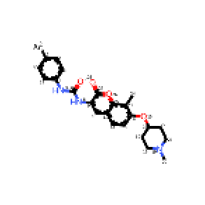 CC(=O)c1ccc(NC(=O)Nc2cc3ccc(OC4CCN(C)CC4)c(C)c3oc2=O)cc1